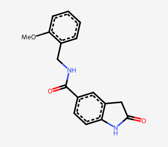 COc1ccccc1CNC(=O)c1ccc2c(c1)CC(=O)N2